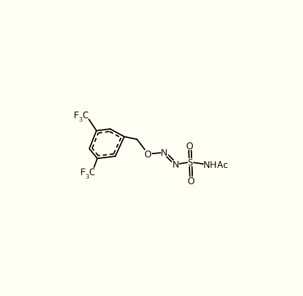 CC(=O)NS(=O)(=O)N=NOCc1cc(C(F)(F)F)cc(C(F)(F)F)c1